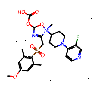 COc1cc(C)c(S(=O)(=O)CC2=NC(OC(=O)O)O[N+]2(C)C2CCN(c3ccncc3F)CC2)c(C)c1